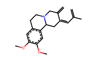 C=C(C)/C=C1/CC2c3cc(OC)c(OC)cc3CCN2CC1=C